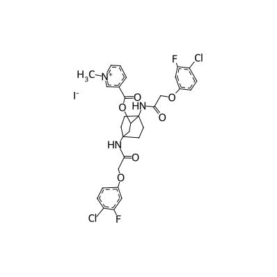 C[n+]1cccc(C(=O)OC2CC3(NC(=O)COc4ccc(Cl)c(F)c4)CCC2(NC(=O)COc2ccc(Cl)c(F)c2)CC3)c1.[I-]